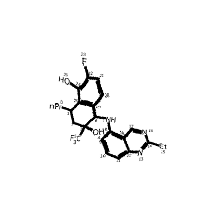 CCCC1CC(O)(C(F)(F)F)C(Nc2cccc3nc(CC)ncc23)c2ccc(F)c(O)c21